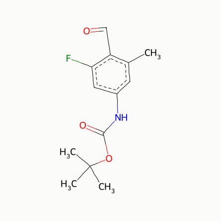 Cc1cc(NC(=O)OC(C)(C)C)cc(F)c1C=O